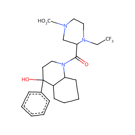 O=C(O)N1CCN(CC(F)(F)F)C(C(=O)N2CCC(O)(c3ccccc3)C3CCCCC32)C1